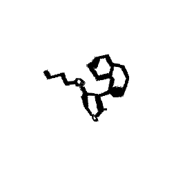 CCCCOc1co[c]c1-c1cccc2ccccc12